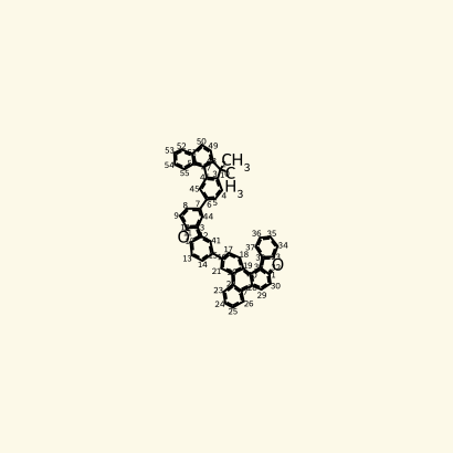 CC1(C)c2ccc(-c3ccc4oc5ccc(-c6ccc7c(c6)c6ccccc6c6ccc8oc9ccccc9c8c67)cc5c4c3)cc2-c2c1ccc1ccccc21